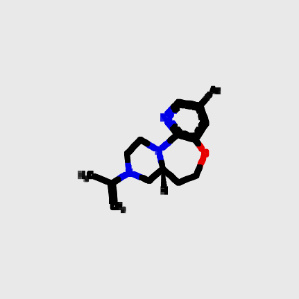 C=C(C)N1CCN2c3ncc(C(C)=O)cc3OCC[C@H]2C1